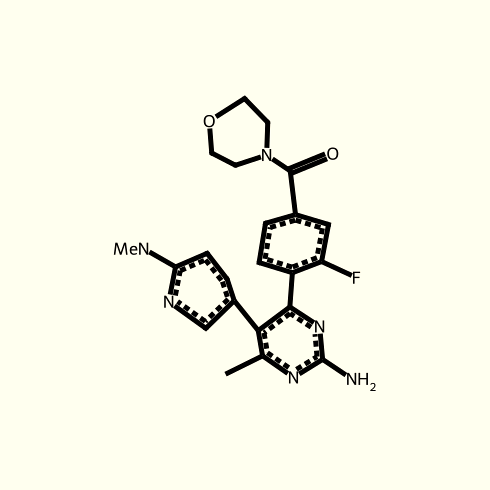 CNc1ccc(-c2c(C)nc(N)nc2-c2ccc(C(=O)N3CCOCC3)cc2F)cn1